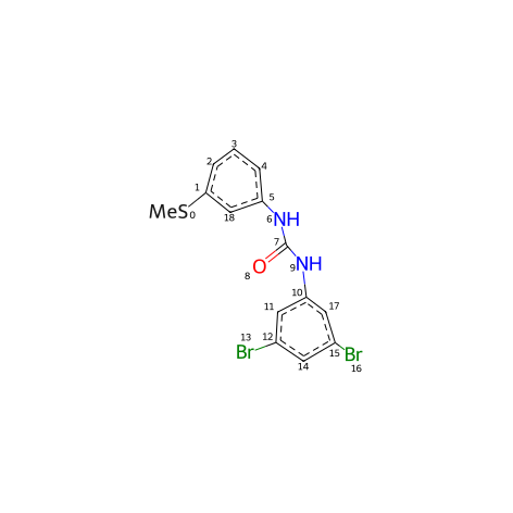 CSc1cccc(NC(=O)Nc2cc(Br)cc(Br)c2)c1